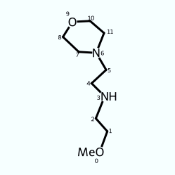 COCCNCCN1CCOCC1